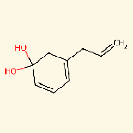 C=CCC1=CC=CC(O)(O)C1